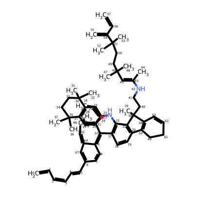 C=C/C=C\C=Cc1ccc(=C(C(/C=C\C)=C/C)\c2ccc3c(c2Nc2ccc4c(c2)C(C)(C)CCC4(C)C)C(C)(CCNC(C)=CC(C)(C)CCC(C)(C)C(=C)C=C)C2=C3CCC=C2)/c(=C\C)c1